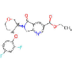 CCOC(=O)c1cnc2c(c1)C(=O)N([C@@H]1COCC[C@H]1Oc1ccc(F)cc1F)C2